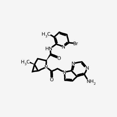 Cc1ccc(Br)nc1NC(=O)[C@@H]1C[C@@]2(C)CC2N1C(=O)Cn1ccc2c(N)ncnc21